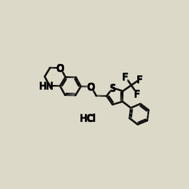 Cl.FC(F)(F)c1sc(COc2ccc3c(c2)OCCN3)cc1-c1ccccc1